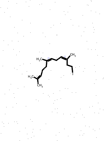 CC(C)=CCC/C(C)=C\C/C=C(/C)CCI